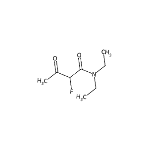 CCN(CC)C(=O)C(F)C(C)=O